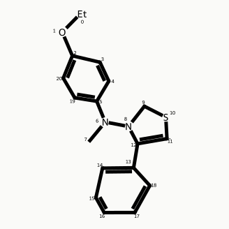 CCOc1ccc(N(C)N2CS[C]=C2c2ccccc2)cc1